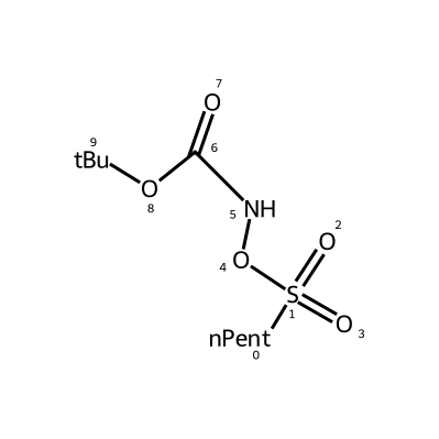 CCCCCS(=O)(=O)ONC(=O)OC(C)(C)C